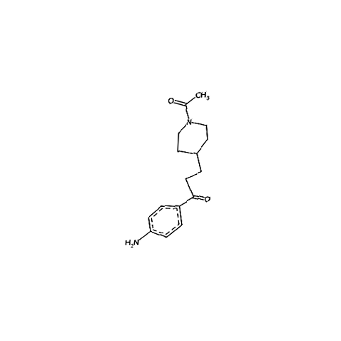 CC(=O)N1CCC(CCC(=O)c2ccc(N)cc2)CC1